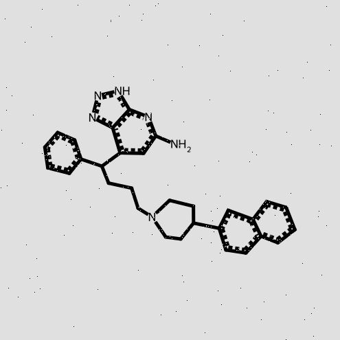 Nc1cc(C(CCCN2CCC(c3ccc4ccccc4c3)CC2)c2ccccc2)c2nn[nH]c2n1